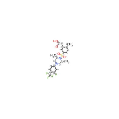 Cc1ccc(S(=O)(=O)N2C(C)CN(c3ccc(C(F)(F)F)c(F)c3)CC2C)cc1CC(=O)O